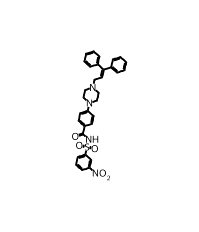 O=C(NS(=O)(=O)c1cccc([N+](=O)[O-])c1)c1ccc(N2CCN(CC=C(c3ccccc3)c3ccccc3)CC2)cc1